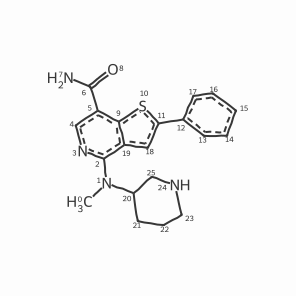 CN(c1ncc(C(N)=O)c2sc(-c3ccccc3)cc12)C1CCCNC1